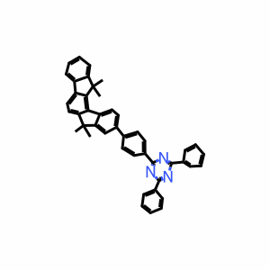 CC1(C)c2cc(-c3ccc(-c4nc(-c5ccccc5)nc(-c5ccccc5)n4)cc3)ccc2-c2c1ccc1c2C(C)(C)c2ccccc2-1